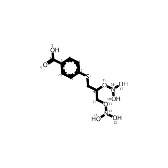 O=C(O)c1ccc(SCC(CON(O)O)ON(O)O)cc1